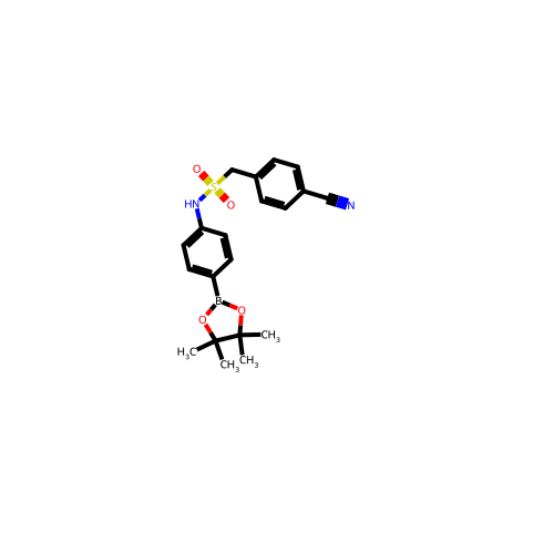 CC1(C)OB(c2ccc(NS(=O)(=O)Cc3ccc(C#N)cc3)cc2)OC1(C)C